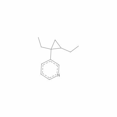 CCC1CC1(CC)c1cccnc1